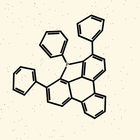 c1ccc(-c2ccc3c4ccccc4c4ccc(-c5ccccc5)c5c4c3c2p5-c2ccccc2)cc1